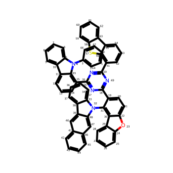 c1ccc(-n2c3ccccc3c3cccc(-c4nc(-c5ccc6oc7ccccc7c6c5-n5c6ccccc6c6cc7ccccc7cc65)nc(-c5cccc6c5sc5ccccc56)n4)c32)cc1